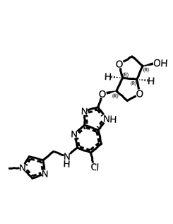 Cn1cnc(CNc2nc3nc(O[C@@H]4CO[C@H]5[C@@H]4OC[C@H]5O)[nH]c3cc2Cl)c1